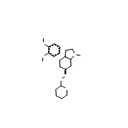 COc1ccc([C@@]23CC/C(=N\OC4CCCCO4)C[C@@H]2N(C)CC3)cc1OC